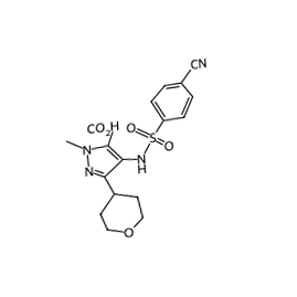 Cn1nc(C2CCOCC2)c(NS(=O)(=O)c2ccc(C#N)cc2)c1C(=O)O